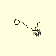 [CH2]CCCC1(CCCCCCc2ccccc2)N=NN=N1